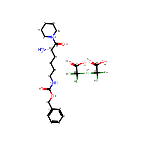 N[C@@H](CCCCNC(=O)OCc1ccccc1)C(=O)N1CCCCC1.O=C(O)C(F)(F)F.O=C(O)C(F)(F)F